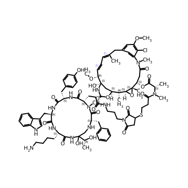 COc1cc2cc(c1Cl)N(C)C(=O)C[C@H](OC(=O)[C@H](C)N(C)C(=O)CCSC1CC(=O)N(CCCNC(=O)CC[C@H]3C(=O)N[C@@H](Cc4ccc(O)cc4)C(=O)N[C@H](Cc4c[nH]c5ccccc45)C(=O)N[C@@H](CCCCN)C(=O)NC(O)([C@@H](C)O)CN[C@@H](Cc4ccccc4)C(=O)N3C)C1=O)[C@]1(C)O[C@H]1[C@H](C)[C@@H]1C[C@@](O)(NC(=O)O1)[C@H](OC)/C=C/C=C(\C)C2